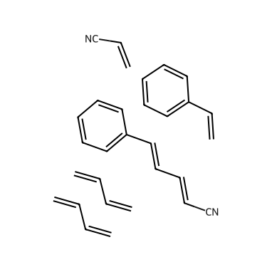 C=CC#N.C=CC=C.C=CC=C.C=Cc1ccccc1.N#CC=CC=Cc1ccccc1